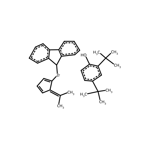 CC(C)(C)c1ccc(O)c(C(C)(C)C)c1.CC(C)=C1C=CC=[C]1[Zr][CH]1c2ccccc2-c2ccccc21